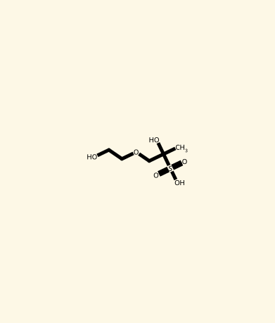 CC(O)(COCCO)S(=O)(=O)O